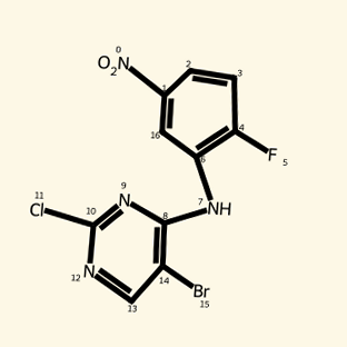 O=[N+]([O-])c1ccc(F)c(Nc2nc(Cl)ncc2Br)c1